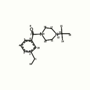 CCc1cccc(C(=O)N2CCN(C(C)(C)C)CC2)c1